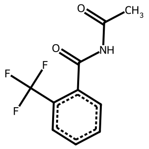 CC(=O)NC(=O)c1ccccc1C(F)(F)F